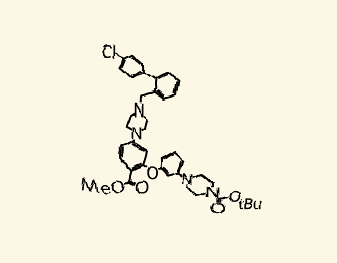 COC(=O)c1ccc(N2CCN(Cc3ccccc3-c3ccc(Cl)cc3)CC2)cc1Oc1cccc(N2CCN(C(=O)OC(C)(C)C)CC2)c1